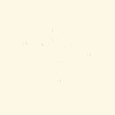 CCOC(=O)C(CC)(COS(=O)(=O)ON1C(=O)N2C[C@H]1CC[C@H]2C(N)=O)C(=O)OCC